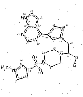 Cn1ccc(S(=O)(=O)N2CCN(C(CF)Cn3cc(-c4ncnc5[nH]ccc45)cn3)CC2)n1